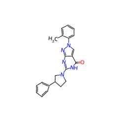 Cc1ccccc1-n1cc2c(=O)[nH]c(N3CCC(c4ccccc4)C3)nc2n1